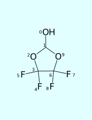 OC1OC(F)(F)C(F)(F)O1